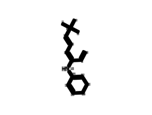 C=C/C(=C\C=C\C(C)(C)C)NC1=CCCC=C1